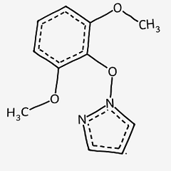 COc1cccc(OC)c1On1c[c]cn1